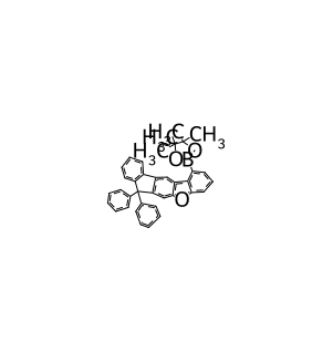 CC1(C)OB(c2cccc3oc4cc5c(cc4c23)-c2ccccc2C5(c2ccccc2)c2ccccc2)OC1(C)C